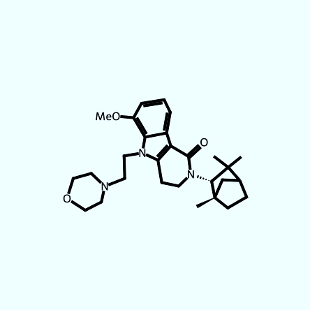 COc1cccc2c3c(n(CCN4CCOCC4)c12)CCN([C@@H]1C(C)(C)C2CC[C@@]1(C)C2)C3=O